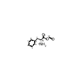 N[C@H](Cc1ccccc1)C(=O)OC=O